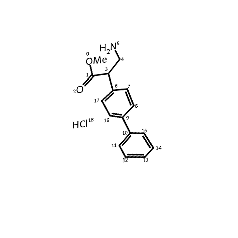 COC(=O)C(CN)c1ccc(-c2ccccc2)cc1.Cl